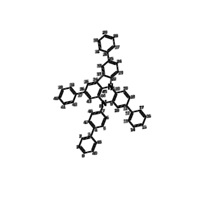 c1ccc(-c2ccc(N3c4cc(-c5ccccc5)ccc4-n4c5ccc(-c6ccccc6)cc5c5cc(-c6ccccc6)cc3c54)cc2)cc1